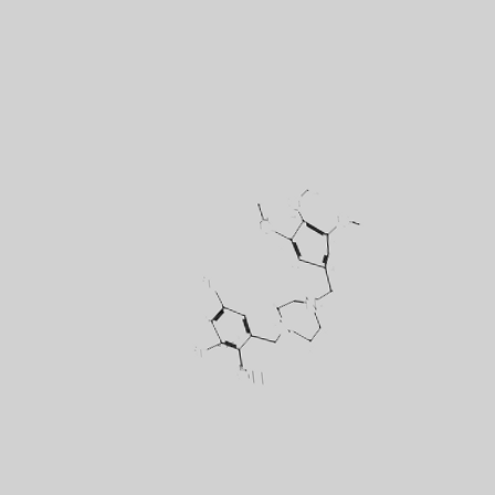 COc1cc(CN2CCN(Cc3cc(Br)cc(Br)c3O)CC2)cc(OC)c1OC